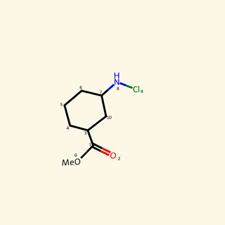 COC(=O)C1CCCC(NCl)C1